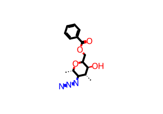 C[C@@H]1OC(COC(=O)c2ccccc2)[C@@H](O)[C@H](C)C1N=[N+]=[N-]